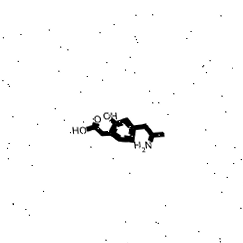 CC(N)Cc1ccc(CC(=O)O)c(O)c1